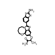 CC(Oc1cc2c3c(c1)nc(-c1ccc4sc(N)nc4c1)n3CCCCO2)C(N)=O